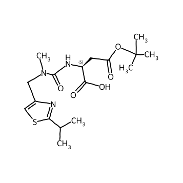 CC(C)c1nc(CN(C)C(=O)N[C@@H](CC(=O)OC(C)(C)C)C(=O)O)cs1